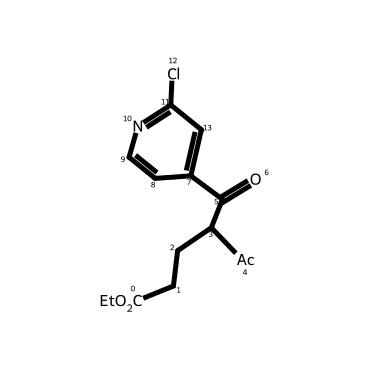 CCOC(=O)CCC(C(C)=O)C(=O)c1ccnc(Cl)c1